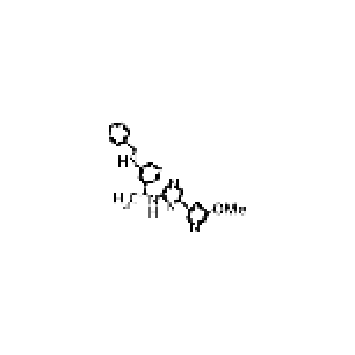 COc1cncc(-c2cncc(N[C@@H](C)c3cccc(NCc4ccccc4)c3)n2)c1